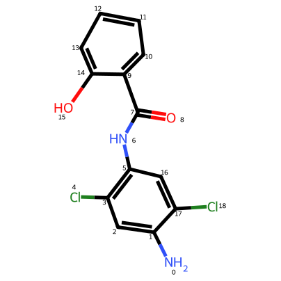 Nc1cc(Cl)c(NC(=O)c2ccccc2O)cc1Cl